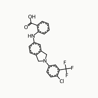 O=C(O)c1ccccc1Nc1ccc2c(c1)CN(c1ccc(Cl)c(C(F)(F)F)c1)C2